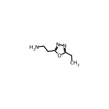 CCc1nnc(CCN)o1